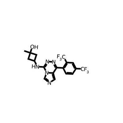 CC1(O)CC(Nc2nnc(-c3ccc(C(F)(F)F)cc3C(F)(F)F)c3cncn23)C1